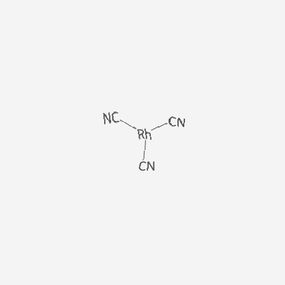 N#[C][Rh]([C]#N)[C]#N